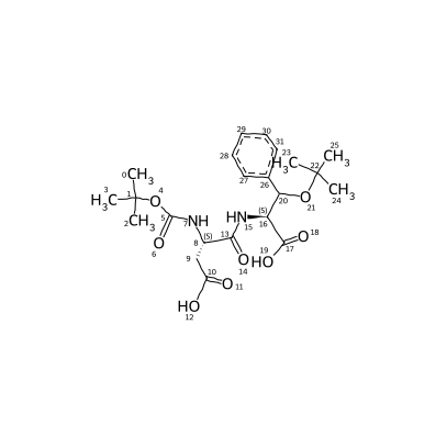 CC(C)(C)OC(=O)N[C@@H](CC(=O)O)C(=O)N[C@H](C(=O)O)C(OC(C)(C)C)c1ccccc1